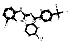 O=C(/N=C(/Nc1cccc(Cl)c1F)N[C@H]1CC[C@H](O)CC1)c1ccc(C(F)(F)F)cc1